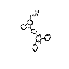 OBOc1ccc2c(c1)c1ccccc1n2-c1ccc(-c2cc(-c3ccccc3)nc(-c3ccccc3)n2)cc1